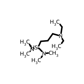 CCN(CC)CCC[SiH](N(C)C)N(C)C